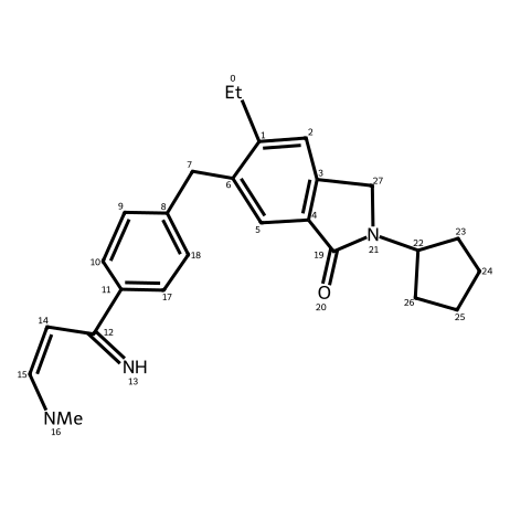 CCc1cc2c(cc1Cc1ccc(C(=N)/C=C\NC)cc1)C(=O)N(C1CCCC1)C2